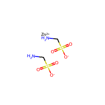 NCS(=O)(=O)[O-].NCS(=O)(=O)[O-].[Zn+2]